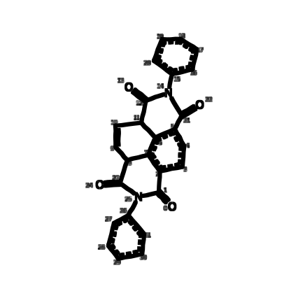 O=C1c2ccc3c4c2C(C=CC4C(=O)N(c2ccccc2)C3=O)C(=O)N1c1ccccc1